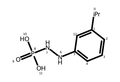 CC(C)c1cccc(NNP(=O)(O)O)c1